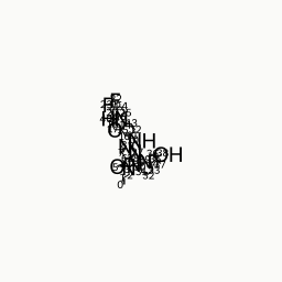 C=CCn1c(=O)c2cnc(Nc3ccc4c(c3)OC[C@H]3CC(F)(F)CCN43)nc2n1-c1cccc(C(C)(C)O)n1